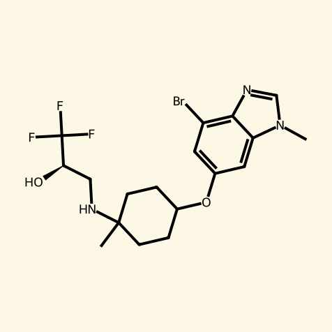 Cn1cnc2c(Br)cc(OC3CCC(C)(NC[C@@H](O)C(F)(F)F)CC3)cc21